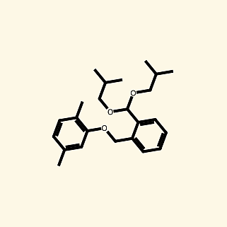 Cc1ccc(C)c(OCc2ccccc2C(OCC(C)C)OCC(C)C)c1